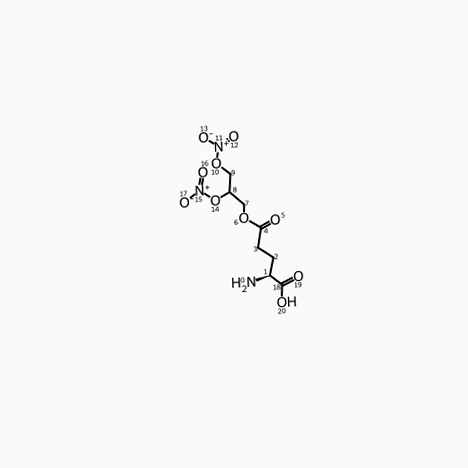 N[C@@H](CCC(=O)OCC(CO[N+](=O)[O-])O[N+](=O)[O-])C(=O)O